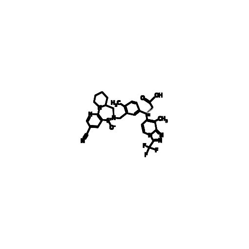 Cc1ccc([C@H](CC(=O)O)c2ccn3c(C(F)(F)F)nnc3c2C)cc1CN1CC2CCCCN2c2ncc(C#N)cc2[S+]1[O-]